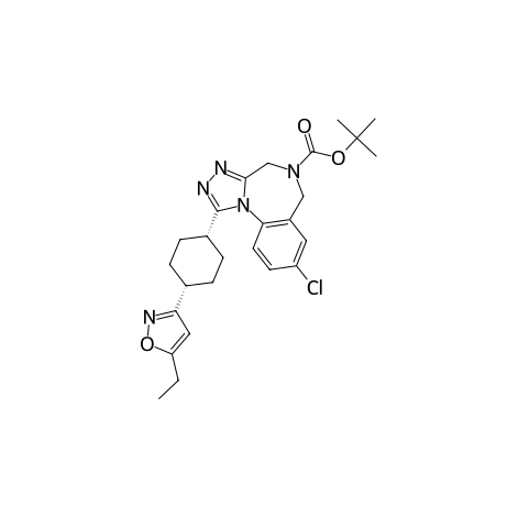 CCc1cc([C@H]2CC[C@@H](c3nnc4n3-c3ccc(Cl)cc3CN(C(=O)OC(C)(C)C)C4)CC2)no1